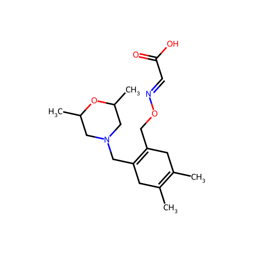 CC1=C(C)CC(CN2CC(C)OC(C)C2)=C(CON=CC(=O)O)C1